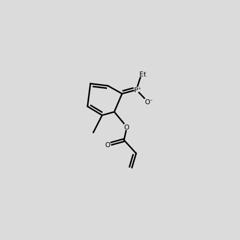 C=CC(=O)OC1C(C)=CC=C/C1=[P+](/[O-])CC